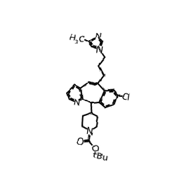 Cc1cn(CCCC2=Cc3cccnc3C(C3CCN(C(=O)OC(C)(C)C)CC3)c3ccc(Cl)cc32)cn1